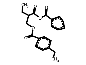 CCc1ccc(C(=O)OCC(CC)C(=O)OC(=O)c2ccccc2)cc1